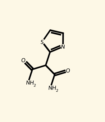 NC(=O)C(C(N)=O)c1nccs1